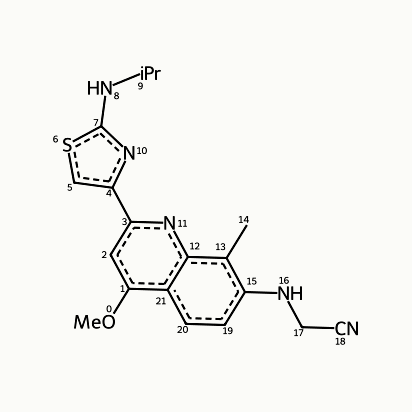 COc1cc(-c2csc(NC(C)C)n2)nc2c(C)c(NCC#N)ccc12